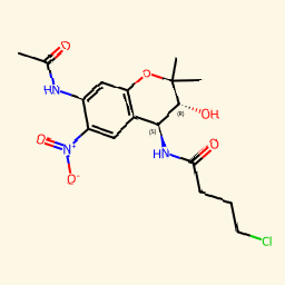 CC(=O)Nc1cc2c(cc1[N+](=O)[O-])[C@H](NC(=O)CCCCl)[C@@H](O)C(C)(C)O2